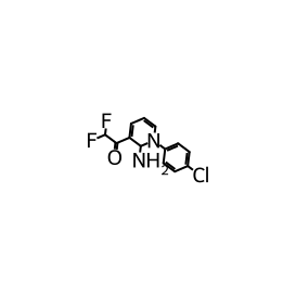 NC1C(C(=O)C(F)F)=CC=CN1c1ccc(Cl)cc1